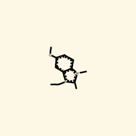 CCn1c(C)[n+](C)c2ccc(OC)cc21